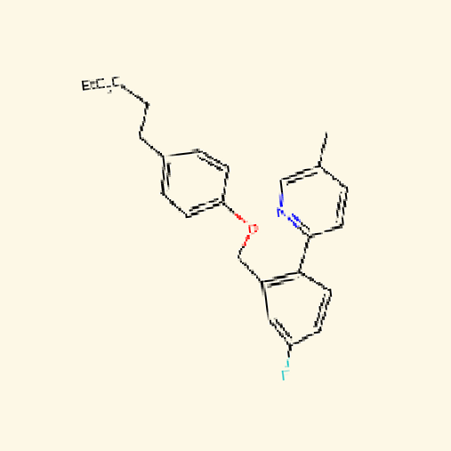 CCOC(=O)CCc1ccc(OCc2cc(F)ccc2-c2ccc(C)cn2)cc1